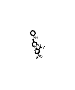 COC(=O)c1cc([N+](=O)[O-])cnc1N1CCC(CNC2CCCCC2)CC1